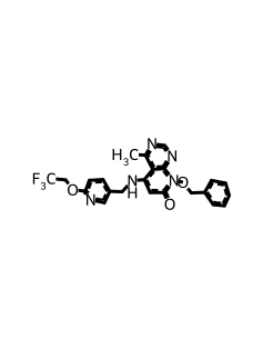 Cc1ncnc2c1c(NCc1ccc(OCC(F)(F)F)nc1)cc(=O)n2OCc1ccccc1